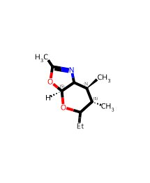 CCC1O[C@H]2OC(C)=NC2[C@@H](C)[C@@H]1C